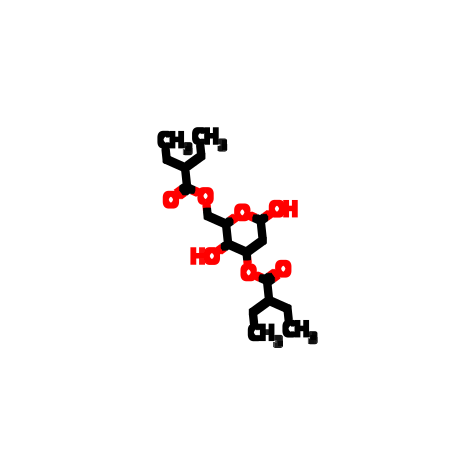 CCC(CC)C(=O)OCC1OC(O)CC(OC(=O)C(CC)CC)C1O